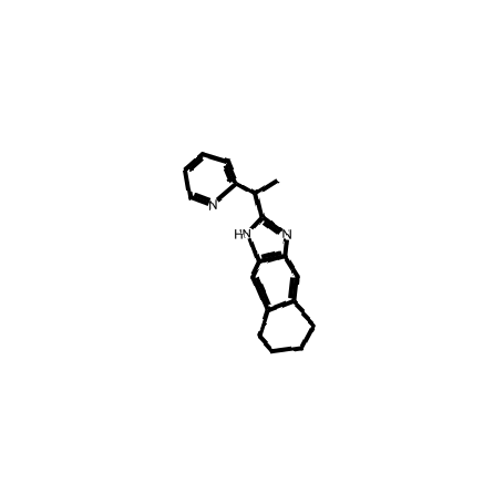 CC(c1ccccn1)c1nc2cc3c(cc2[nH]1)CCCC3